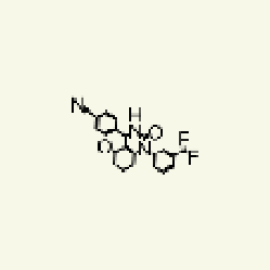 N#Cc1ccc(C2NC(=O)N(c3cccc(C(F)F)c3)C3=C2C(=O)CCC3)cc1